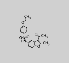 CCOc1ccc(S(=O)(=O)Nc2ccc3oc(C)c(C(C)=O)c3c2)cc1